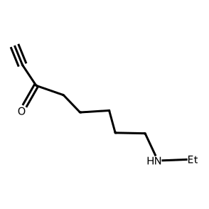 C#CC(=O)CCCCCNCC